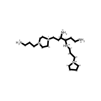 NCCCN1CCN(CCC(N)C(CCN)NCCCN2CCCC2)CC1